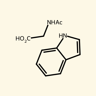 CC(=O)NCC(=O)O.c1ccc2[nH]ccc2c1